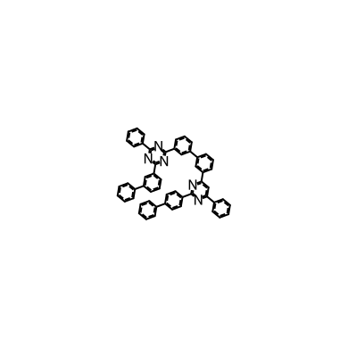 c1ccc(-c2ccc(-c3nc(-c4ccccc4)cc(-c4cccc(-c5cccc(-c6nc(-c7ccccc7)nc(-c7cccc(-c8ccccc8)c7)n6)c5)c4)n3)cc2)cc1